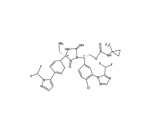 CC(C)(C)C[C@]1(C2C=CC(c3ccnn3C(F)F)=CC2)NC(=N)N([C@H](COC(=O)NC2(C(F)(F)F)CC2)c2ccc(Cl)c(-n3ncnc3C(F)F)c2)C1=O